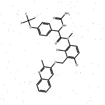 Cc1nc2ccccc2cc1OCc1c(Cl)ccc(N(C)C(=O)C(NC(N)=O)c2ccc(OC(F)(F)F)cc2)c1Cl